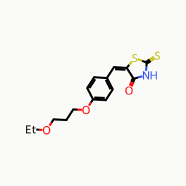 CCOCCCOc1ccc(C=C2SC(=S)NC2=O)cc1